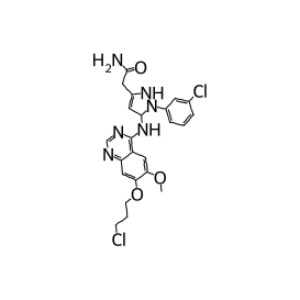 COc1cc2c(NC3C=C(CC(N)=O)NN3c3cccc(Cl)c3)ncnc2cc1OCCCCl